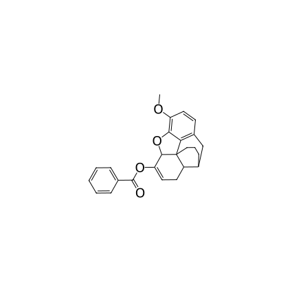 COc1ccc2c3c1OC1C(OC(=O)c4ccccc4)=CCC4C(CCCC314)C2